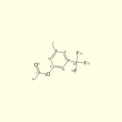 CC(=O)Oc1cc(C)cc(C(F)(F)F)c1